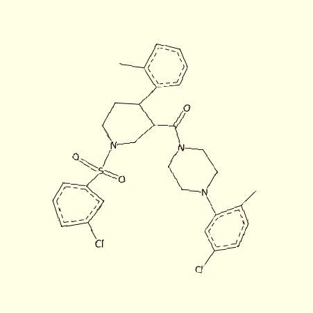 Cc1ccccc1C1CCN(S(=O)(=O)c2cccc(Cl)c2)CC1C(=O)N1CCN(c2cc(Cl)ccc2C)CC1